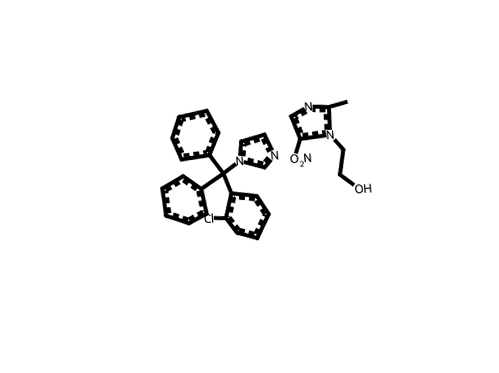 Cc1ncc([N+](=O)[O-])n1CCO.Clc1ccccc1C(c1ccccc1)(c1ccccc1)n1ccnc1